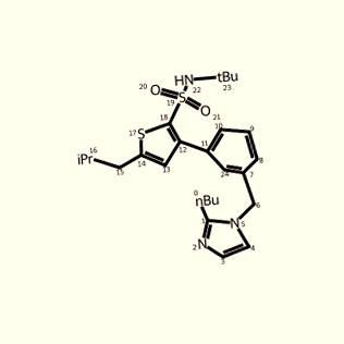 CCCCc1nccn1Cc1cccc(-c2cc(CC(C)C)sc2S(=O)(=O)NC(C)(C)C)c1